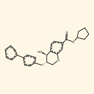 O=C(OC1CCCC1)c1ccc2c(c1)OC[C@H](Cc1ccc(-c3ccccc3)cc1)[C@H]2O